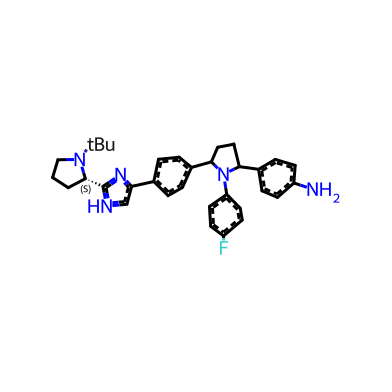 CC(C)(C)N1CCC[C@H]1c1nc(-c2ccc(C3CCC(c4ccc(N)cc4)N3c3ccc(F)cc3)cc2)c[nH]1